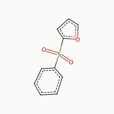 O=S(=O)(c1ccccc1)c1ccco1